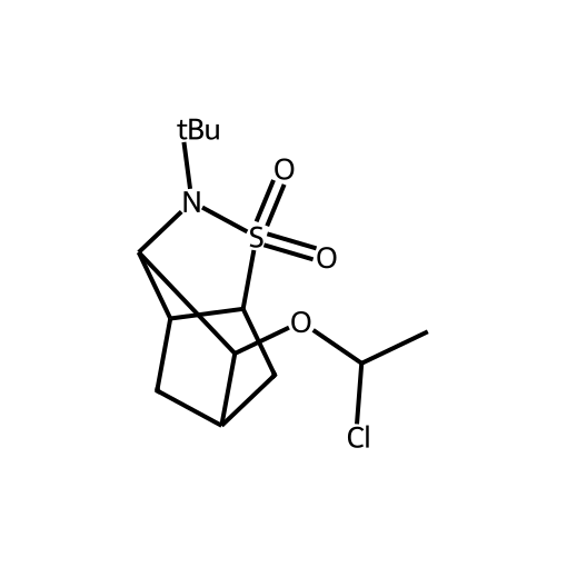 CC(Cl)OC1C2CC3C1N(C(C)(C)C)S(=O)(=O)C3C2